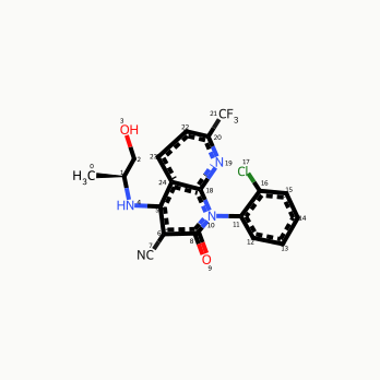 C[C@@H](CO)Nc1c(C#N)c(=O)n(-c2ccccc2Cl)c2nc(C(F)(F)F)ccc12